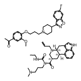 C=CCN1C[C@H](C(=O)N(CCCN(C)C)C(=O)NCC)C[C@@H]2c3cccc4[nH]cc(c34)C[C@H]21.COc1cc(C(C)=O)ccc1OCCCN1CCC(c2noc3cc(F)ccc23)CC1